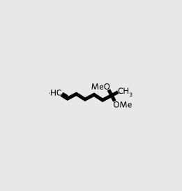 [CH]=CCCCCC(C)(OC)OC